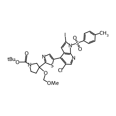 COCOC1(c2ncc(-c3c(Cl)cnc4c3cc(I)n4S(=O)(=O)c3ccc(C)cc3)s2)CCN(C(=O)OC(C)(C)C)C1